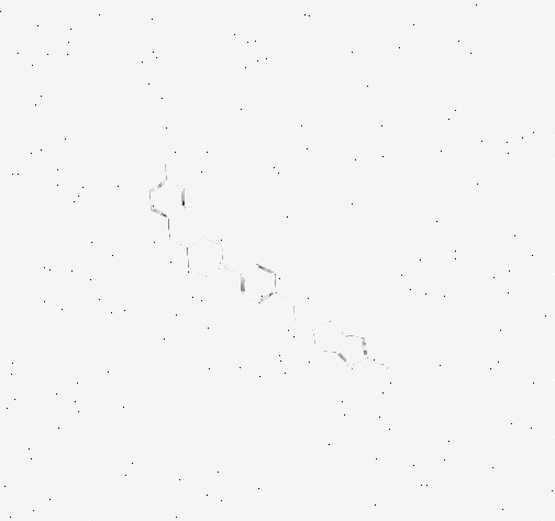 O=[N+]([O-])c1cn2c(n1)O[C@H](COc1ccc(N3CCC(Cc4ccc(OC(F)(F)F)cc4)CC3)cc1)C2